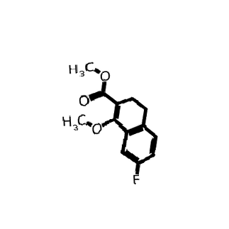 COC(=O)C1=C(OC)c2cc(F)ccc2CC1